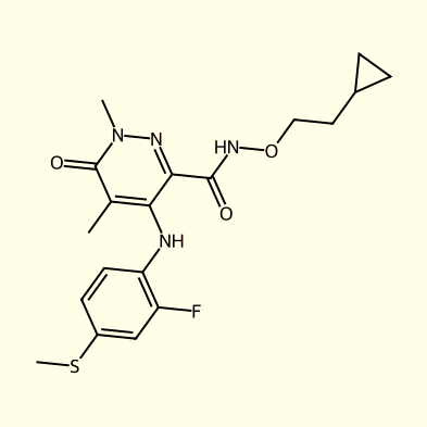 CSc1ccc(Nc2c(C(=O)NOCCC3CC3)nn(C)c(=O)c2C)c(F)c1